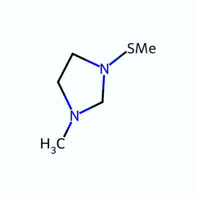 CSN1CCN(C)C1